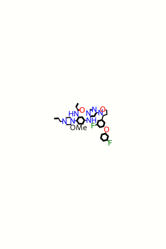 C=CCN1CCN(c2cc(OC)c(Nc3cc(N4OCCC4c4cc(F)cc(Oc5cccc(F)c5)c4)ncn3)cc2NC(=O)C=C)CC1